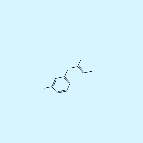 CC=C(CC)Oc1cc[c]c(F)c1